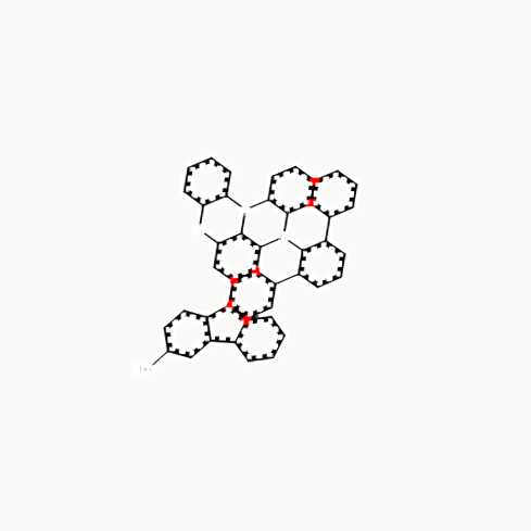 CC(C)(C)c1ccc2c(c1)c1ccccc1n2-c1cc2c3c(c1)N(c1c(-c4ccccc4)cccc1-c1ccccc1)c1ccccc1B3c1ccccc1O2